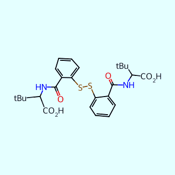 CC(C)(C)C(NC(=O)c1ccccc1SSc1ccccc1C(=O)NC(C(=O)O)C(C)(C)C)C(=O)O